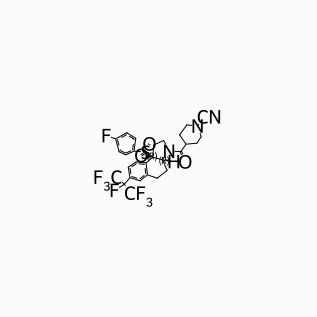 N#CN1CCC(C(=O)N2CC[C@@]3(S(=O)(=O)c4ccc(F)cc4)c4ccc(C(F)(C(F)(F)F)C(F)(F)F)cc4CC[C@@H]23)CC1